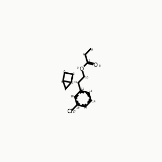 C1CC2CC12.CCC(=O)OCCc1cccc(Cl)c1